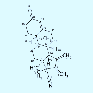 C=C1C(=C)C(C)(C#N)[C@@]2(C)CC[C@@H]3[C@@H](CCC4=CC(=O)CC[C@@]43C)[C@H]12